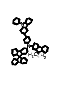 CC1(C)c2ccccc2-c2ccc(N(c3ccc(-c4ccc5c(c4)c4ccccc4n5-c4ccccc4)cc3)c3ccc4c(c3)-c3ccccc3C4(c3ccccc3)c3ccccc3)cc21